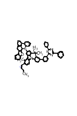 C=C/C=C\c1ccc2c(c1C)c1cc(N(c3ccccc3-c3ccccc3)c3cccc4c3oc3ccccc34)cc3c1n2-c1ccc(-c2cccc(-c4nc(-c5ccccc5)nc(-c5ccccc5)n4)c2)cc1C3(C)C